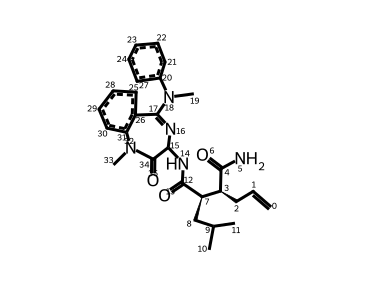 C=CC[C@H](C(N)=O)[C@@H](CC(C)C)C(=O)NC1N=C(N(C)c2ccccc2)c2ccccc2N(C)C1=O